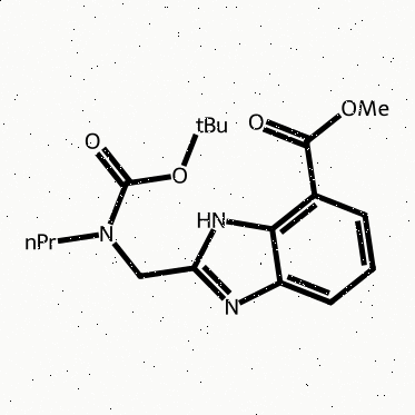 CCCN(Cc1nc2cccc(C(=O)OC)c2[nH]1)C(=O)OC(C)(C)C